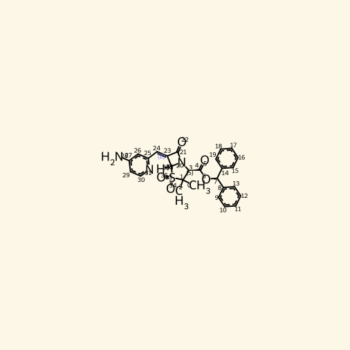 CC1(C)[C@H](C(=O)OC(c2ccccc2)c2ccccc2)N2C(=O)/C(=C/c3cc(N)ccn3)[C@H]2S1(=O)=O